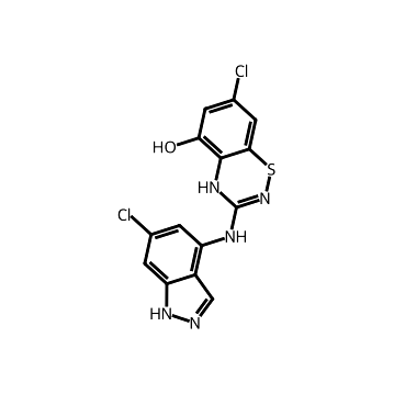 Oc1cc(Cl)cc2c1NC(Nc1cc(Cl)cc3[nH]ncc13)=NS2